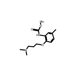 Cc1ccc(OCCCN(C)C)c(NC(=O)OC(C)(C)C)c1